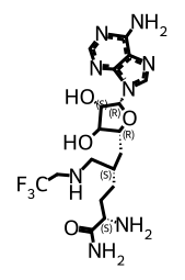 NC(=O)[C@@H](N)CC[C@H](CNCC(F)(F)F)C[C@H]1O[C@@H](n2cnc3c(N)ncnc32)[C@@H](O)C1O